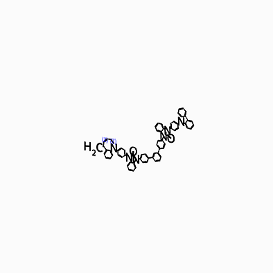 C=C1/C=C\C=C/N(c2ccc(-n3c(=O)n(-c4ccc(-c5cccc(-c6ccc(-n7c(=O)n(-c8ccc(-n9c%10ccccc%10c%10ccccc%109)cc8)c8ccccc87)cc6)c5)cc4)c4ccccc43)cc2)c2ccccc21